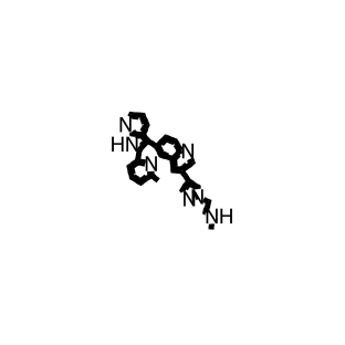 CNCCn1cc(-c2cnc3ccc(-c4c(-c5cccc(C)n5)[nH]c5ncccc45)cc3c2)cn1